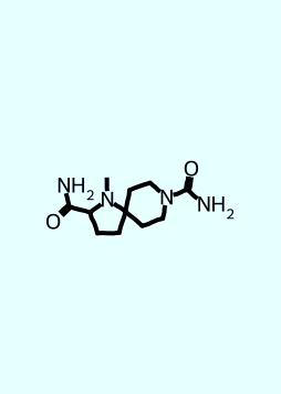 CN1C(C(N)=O)CCC12CCN(C(N)=O)CC2